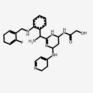 NC(C1=NC(NC2=CC=NCC2)CC(NC(=O)CO)N1)c1ccccc1NCC1=CCCC=C1F